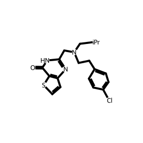 CC(C)CN(CCc1ccc(Cl)cc1)Cc1nc2ccsc2c(=O)[nH]1